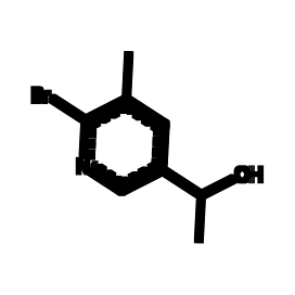 Cc1cc(C(C)O)cnc1Br